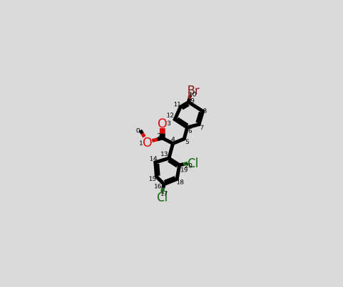 COC(=O)C(Cc1ccc(Br)cc1)c1ccc(Cl)cc1Cl